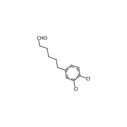 O=[C]CCCCCc1ccc(Cl)c(Cl)c1